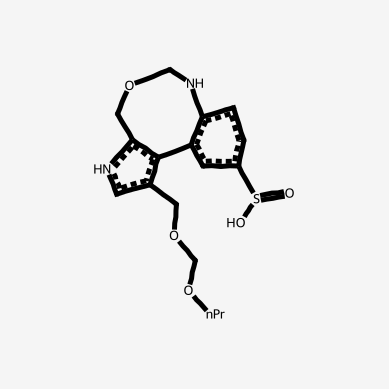 CCCOCOCc1c[nH]c2c1-c1cc(S(=O)O)ccc1NCOC2